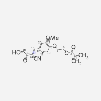 C=C(C)C(=O)OCCOc1ccc(/C=C(\C#N)C(=O)CO)cc1OC